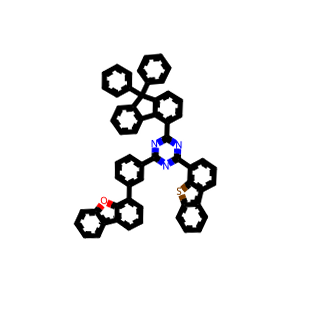 c1ccc(C2(c3ccccc3)c3ccccc3-c3c(-c4nc(-c5cccc(-c6cccc7c6oc6ccccc67)c5)nc(-c5cccc6c5sc5ccccc56)n4)cccc32)cc1